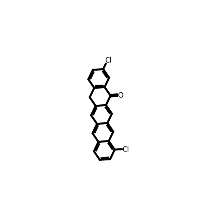 O=C1c2cc(Cl)ccc2Cc2cc3cc4cccc(Cl)c4cc3cc21